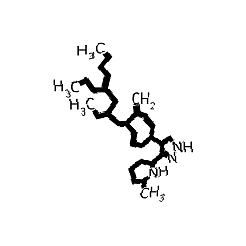 C=C1/C=C\C(C2CNN=C2C2CCCC(C)N2)C/C=C/C1CC(CC)C/C(=C/CCC)CCC